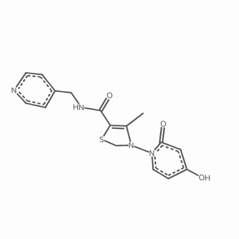 CC1=C(C(=O)NCc2ccncc2)SCN1n1ccc(O)cc1=O